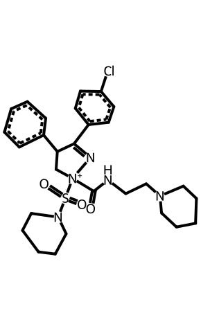 O=C(NCCN1CCCCC1)[N+]1(S(=O)(=O)N2CCCCC2)CC(c2ccccc2)C(c2ccc(Cl)cc2)=N1